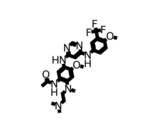 COc1cc(N(C)CCN(C)C)c(NC(C)=O)cc1Nc1cc(Nc2ccc(OC)c(C(F)(F)F)c2)ncn1